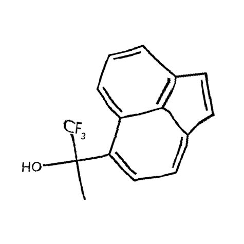 CC(O)(c1ccc2c3c(cccc13)C=C2)C(F)(F)F